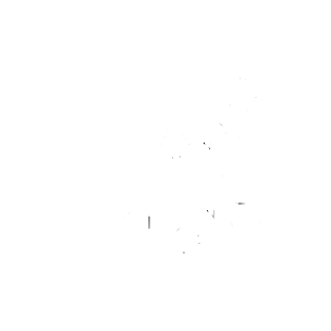 c1ccc(-c2ccc(-c3cccc(-n4c5ccccc5c5cc6c(cc54)c4ccccc4n6-c4ccc5ccccc5c4)c3)cc2)cc1